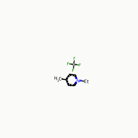 CC[n+]1ccc(C)cc1.F[B-](F)(F)F